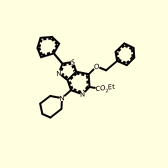 CCOC(=O)c1nc(N2CCCCC2)c2nc(-c3ccccc3)sc2c1OCc1ccccc1